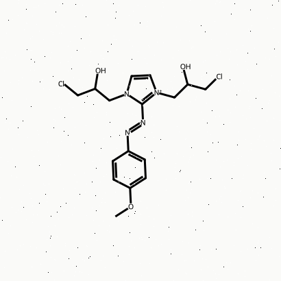 COc1ccc(N=Nc2n(CC(O)CCl)cc[n+]2CC(O)CCl)cc1